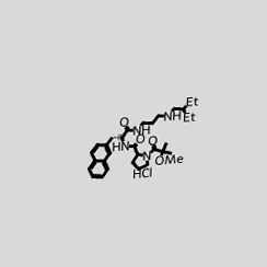 CCC(CC)CNCCCNC(=O)[C@@H](Cc1ccc2ccccc2c1)NC(=O)C1CCCN1C(=O)C(C)(C)OC.Cl